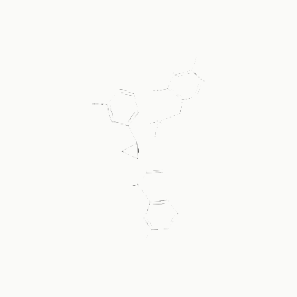 Cc1ncc(CNC[C@@]2(c3cccc(F)c3)C[C@H]2C(=O)Nc2cc(F)ccn2)c(C)n1